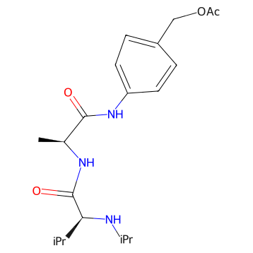 CC(=O)OCc1ccc(NC(=O)[C@H](C)NC(=O)[C@@H](NC(C)C)C(C)C)cc1